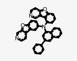 c1ccc(-c2cc(N(c3ccc4oc5cnccc5c4c3)c3cccc4oc5ccncc5c34)c3ccccc3c2)cc1